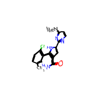 CNc1ccnc(-c2cc(C(N)=O)c(-c3cc(C(F)(F)F)ccc3Cl)[nH]2)n1